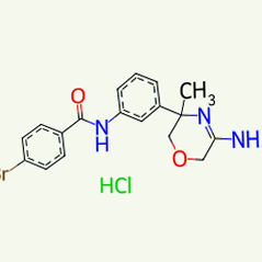 CC1(c2cccc(NC(=O)c3ccc(Br)cc3)c2)COCC(N)=N1.Cl